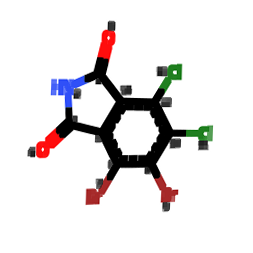 O=C1NC(=O)c2c(Br)c(Br)c(Cl)c(Cl)c21